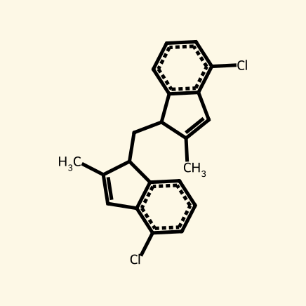 CC1=Cc2c(Cl)cccc2C1CC1C(C)=Cc2c(Cl)cccc21